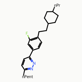 CCCCCc1ccc(-c2ccc(CCC3CCC(CCC)CC3)c(F)c2)nn1